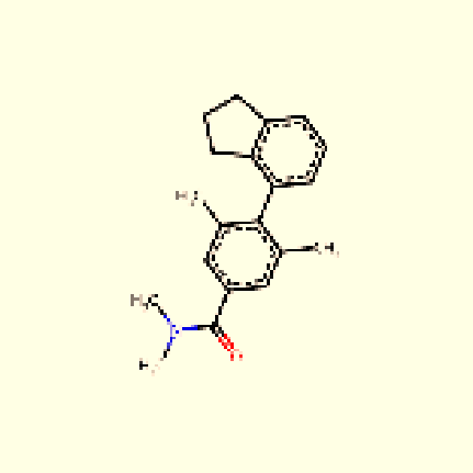 Cc1cc(C(=O)N(C)C)cc(C)c1-c1cccc2c1CCC2